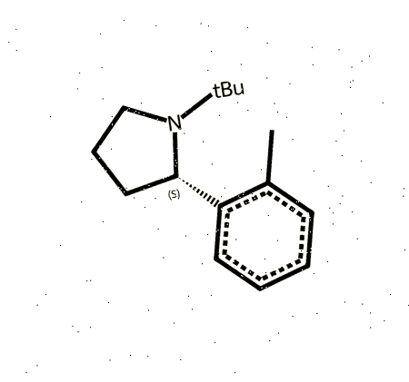 Cc1ccccc1[C@@H]1CCCN1C(C)(C)C